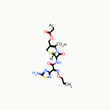 C=CCON=C(C(=O)NC1C(=O)N2C(C(=O)O)=C(COC(=O)CC(C)=O)CS[C@@H]12)c1nsc(N)n1